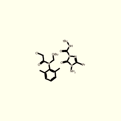 CC(C)c1nn(C(=O)NC(C)(C)C)c(=O)n1N.Cc1cccc(C)c1N(COCC(C)C)C(=O)CCl